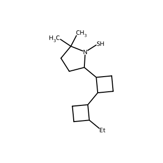 CCC1CCC1C1CCC1C1CCC(C)(C)N1S